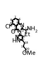 CC[C@H](N)c1nc2cccc(Cl)c2c(=O)n1-c1cc(CCCOC)[nH]n1